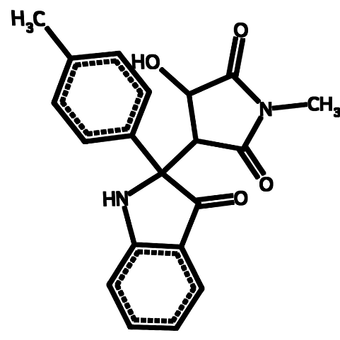 Cc1ccc(C2(C3C(=O)N(C)C(=O)C3O)Nc3ccccc3C2=O)cc1